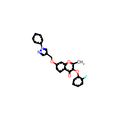 Cc1oc2cc(OCc3cnn(-c4ccccc4)c3)ccc2c(=O)c1Oc1ccccc1F